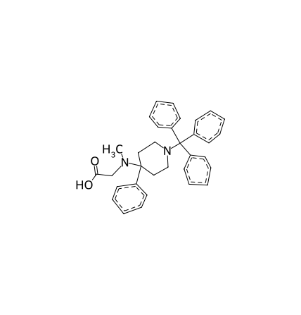 CN(CC(=O)O)C1(c2ccccc2)CCN(C(c2ccccc2)(c2ccccc2)c2ccccc2)CC1